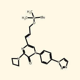 CC(C)(C)[Si](C)(C)OC/C=C/c1cn(-c2ccc(-n3ccnn3)cc2)c(=O)c(N2CCC2)n1